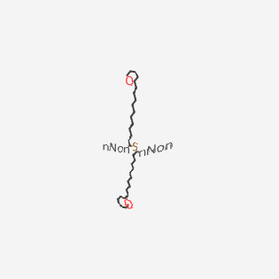 CCCCCCCCCC(CCCCCCCCCCC1CCCCO1)SC(CCCCCCCCC)CCCCCCCCCCC1CCCCO1